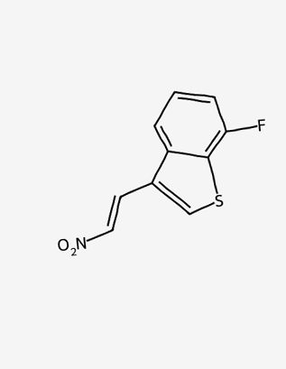 O=[N+]([O-])/C=C/c1csc2c(F)cccc12